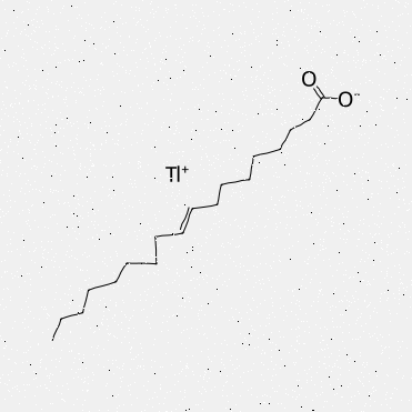 CCCCCCCCC=CCCCCCCCC(=O)[O-].[Tl+]